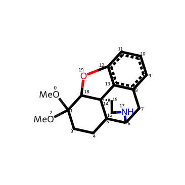 COC1(OC)CCC2C3Cc4cccc5c4[C@]2(CCN3)C1O5